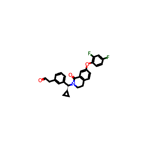 O=CCc1cccc([C@@H](C2CC2)N2CCc3ccc(Oc4ccc(F)cc4F)cc3C2=O)c1